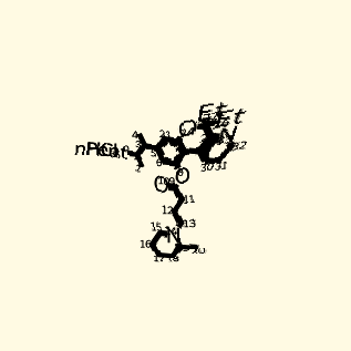 CCCCCC(C)C(C)c1cc(OC(=O)CCCN2CCCCC2C)c2c(c1)OC(CC)(CC)C1=C2C2CCN1CC2.Cl